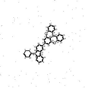 C1=CCCC(n2c3ccccc3c3cc(-c4cc5c6c(c4)Oc4ccccc4B6c4ccccc4O5)ccc32)=C1